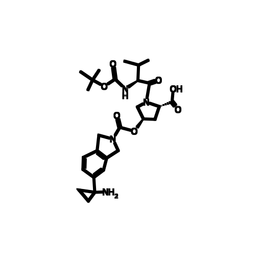 CC(C)[C@H](NC(=O)OC(C)(C)C)C(=O)N1C[C@H](OC(=O)N2Cc3ccc(C4(N)CC4)cc3C2)C[C@H]1C(=O)O